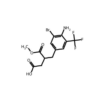 COC(=O)C(CC(=O)O)Cc1cc(Br)c(N)c(C(F)(F)F)c1